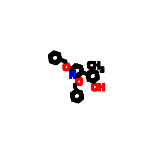 Cc1ccc(O)cc1-c1ccc(OCc2ccccc2)nc1OCc1ccccc1